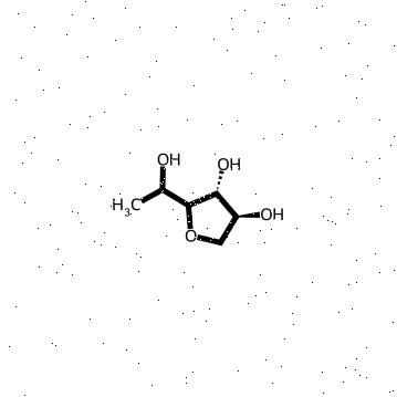 CC(O)C1OC[C@H](O)[C@H]1O